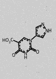 O=C(O)c1cn(-c2cn[nH]c2)c(=O)[nH]c1=O